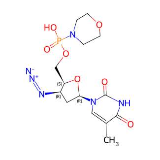 Cc1cn([C@H]2C[C@@H](N=[N+]=[N-])[C@@H](COP(=O)(O)N3CCOCC3)O2)c(=O)[nH]c1=O